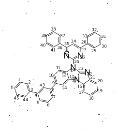 c1ccc(-c2cccc(-c3ccc4c(c3)n3c5ccccc5nc3n4-c3nc(-c4ccccc4)cc(-c4ccccc4)n3)c2)cc1